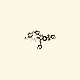 CC(=O)N1CCN(Cc2cnc(NC(=O)/C(=N/O[C@@H]3CCOC3)c3ccc(S(=O)(=O)[C@H]4CCOC4)cc3)s2)C[C@H]1C